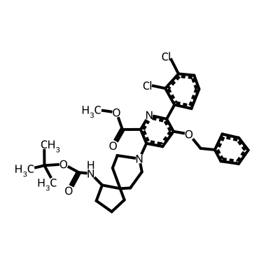 COC(=O)c1nc(-c2cccc(Cl)c2Cl)c(OCc2ccccc2)cc1N1CCC2(CCCC2NC(=O)OC(C)(C)C)CC1